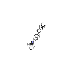 Cc1cccc(C)c1N/N=C/c1ccc2nc(-c3ccc(OC(F)(F)F)cc3)cn2c1